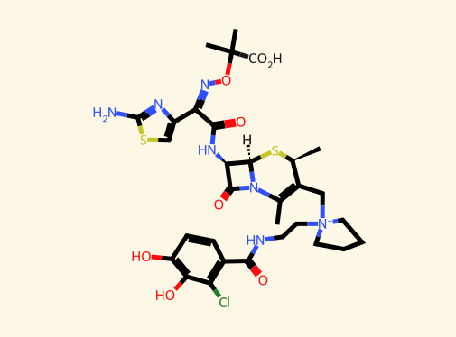 CC1=C(C[N+]2(CCNC(=O)c3ccc(O)c(O)c3Cl)CCCC2)[C@H](C)S[C@@H]2[C@H](NC(=O)/C(=N\OC(C)(C)C(=O)O)c3csc(N)n3)C(=O)N12